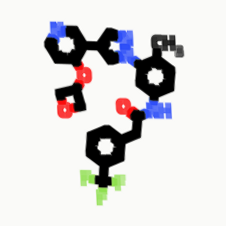 Cc1ccc(NC(=O)Cc2cccc(C(F)(F)F)c2)cc1-n1cc(-c2cnccc2OC2COC2)cn1